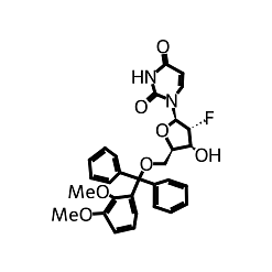 COc1cccc(C(OC[C@H]2O[C@@H](n3ccc(=O)[nH]c3=O)[C@H](F)[C@@H]2O)(c2ccccc2)c2ccccc2)c1OC